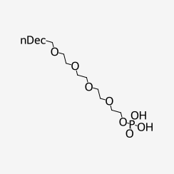 CCCCCCCCCCCOCCOCCOCCOCCOP(=O)(O)O